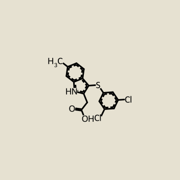 Cc1ccc2c(Sc3cc(Cl)cc(Cl)c3)c(CC(=O)O)[nH]c2c1